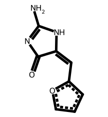 NC1=NC(=O)C(=Cc2ccco2)N1